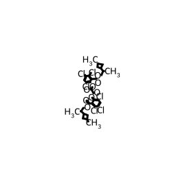 CC1CC(C(C)COC(=O)c2c(Cl)c(Cl)cc(Cl)c2OC(=O)C(=O)Oc2c(Cl)cc(Cl)c(Cl)c2C(=O)OCC(C)C2CC(C)C2)C1